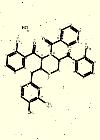 Cc1ccc(CC2NCC(C(=O)c3ccccc3C(F)(F)F)N(C(=O)c3cccnc3)C2C(=O)c2ccccc2C(F)(F)F)cc1C.Cl